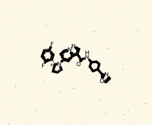 O=C(NC1CCC(c2ncco2)CC1)c1cnn2ccc(N3CCC[C@@H]3c3cc(F)ccc3F)cc12